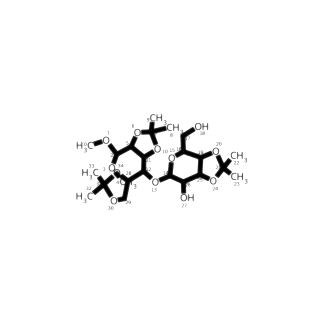 COC(OC)C1OC(C)(C)OC1C(OC1OC(CO)C2OC(C)(C)OC2C1O)C1COC(C)(C)O1